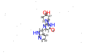 O=c1cc(-c2c[nH]c3ncccc23)nc(N2CCC(O)CC2)[nH]1